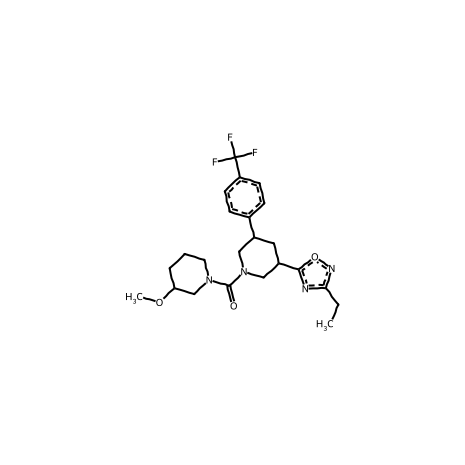 CCc1noc(C2CC(c3ccc(C(F)(F)F)cc3)CN(C(=O)N3CCCC(OC)C3)C2)n1